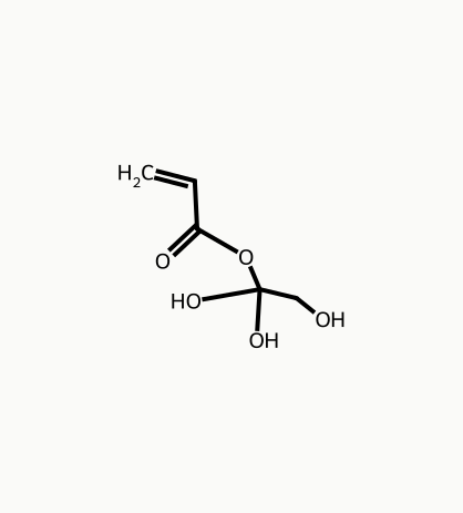 C=CC(=O)OC(O)(O)CO